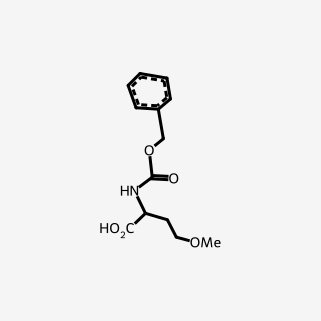 COCCC(NC(=O)OCc1ccccc1)C(=O)O